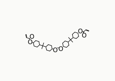 C=CC(=O)OC1CCC(C(C)(C)C2CCC(OCOC3CCC(C(C)(C)C4CCC(OC(=O)C=C)CC4)CC3)CC2)CC1